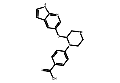 O=C(O)c1ccc(N2CCNCC2Oc2cnc3[nH]ccc3c2)cc1